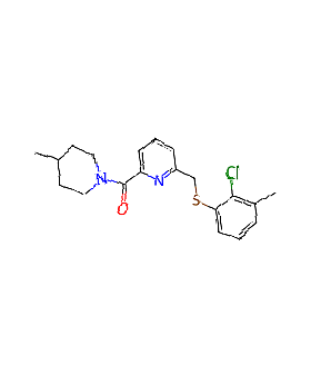 Cc1cccc(SCc2cccc(C(=O)N3CCC(C)CC3)n2)c1Cl